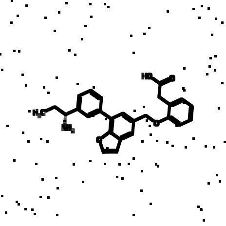 CC[C@@H](N)c1cccc(-c2cc(COc3ccccc3CC(=O)O)cc3ccoc23)c1